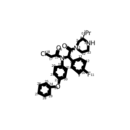 CC(C)[C@H]1CN(C(=O)C(c2ccc(F)cc2)N(C(=O)CCl)c2ccc(Oc3ccccc3)cc2)CCN1